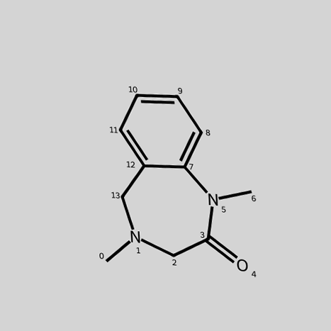 CN1CC(=O)N(C)c2ccccc2C1